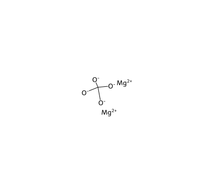 [Mg+2].[Mg+2].[O-]C([O-])([O-])[O-]